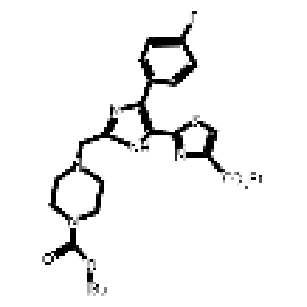 CCOC(=O)c1csc(-c2[nH]c(CN3CCN(C(=O)OC(C)(C)C)CC3)nc2-c2ccc(F)cc2)n1